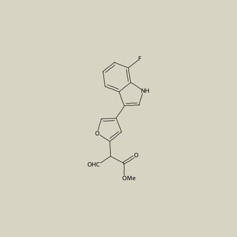 COC(=O)C(C=O)c1cc(-c2c[nH]c3c(F)cccc23)co1